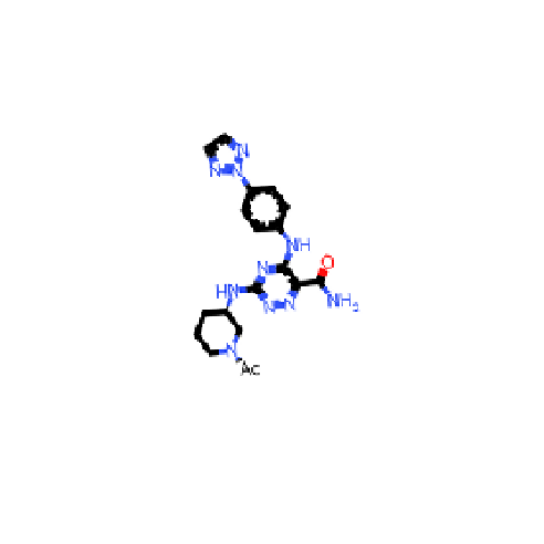 CC(=O)N1CCC[C@@H](Nc2nnc(C(N)=O)c(Nc3ccc(-n4nccn4)cc3)n2)C1